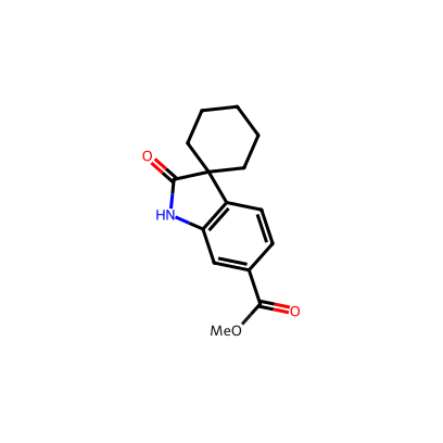 COC(=O)c1ccc2c(c1)NC(=O)C21CCCCC1